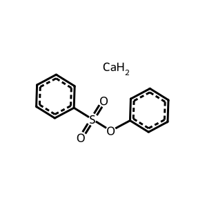 O=S(=O)(Oc1ccccc1)c1ccccc1.[CaH2]